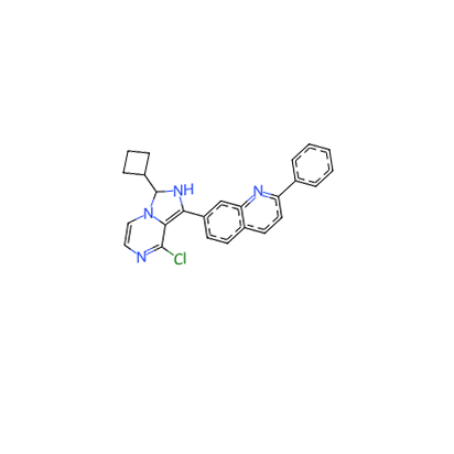 ClC1=NC=CN2C1=C(c1ccc3ccc(-c4ccccc4)nc3c1)NC2C1CCC1